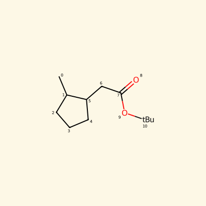 CC1CCCC1CC(=O)OC(C)(C)C